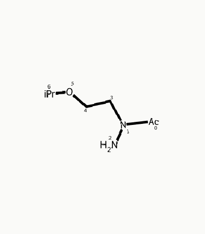 CC(=O)N(N)CCOC(C)C